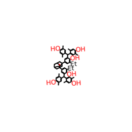 CCc1cc(C23CC4CC(C2)CC(c2cc(CC)c(O)c(C(c5cc(C)c(O)cc5C)c5cc(C)c(O)cc5C)c2)(C4)C3)cc(C(c2cc(C)c(O)cc2C)c2cc(C)c(O)cc2C)c1O